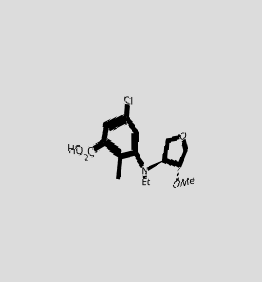 CCN(c1cc(Cl)cc(C(=O)O)c1C)[C@H]1COC[C@@H]1OC